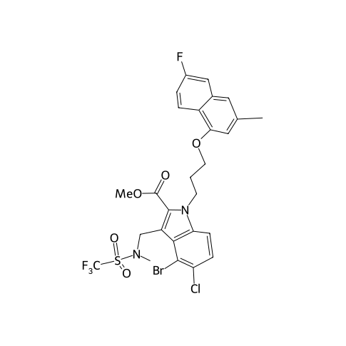 COC(=O)c1c(CN(C)S(=O)(=O)C(F)(F)F)c2c(Br)c(Cl)ccc2n1CCCOc1cc(C)cc2cc(F)ccc12